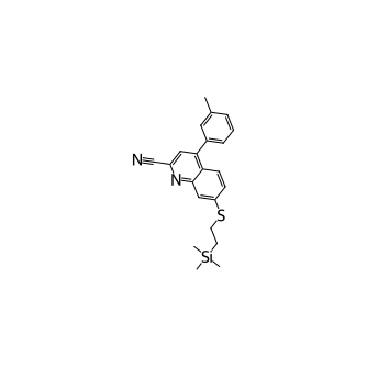 Cc1cccc(-c2cc(C#N)nc3cc(SCC[Si](C)(C)C)ccc23)c1